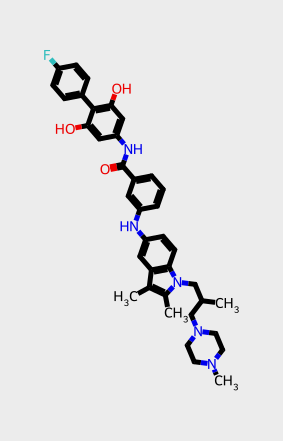 Cc1c(C)n(CC(C)CN2CCN(C)CC2)c2ccc(Nc3cccc(C(=O)Nc4cc(O)c(-c5ccc(F)cc5)c(O)c4)c3)cc12